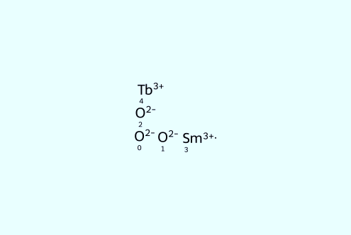 [O-2].[O-2].[O-2].[Sm+3].[Tb+3]